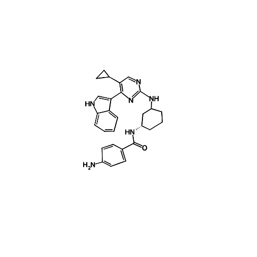 Nc1ccc(C(=O)N[C@H]2CCCC(Nc3ncc(C4CC4)c(-c4c[nH]c5ccccc45)n3)C2)cc1